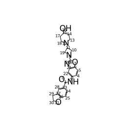 O=C(Nc1ccc2oc(N3CC(N4CCC(O)CC4)C3)nc2c1)c1ccc2c(c1)CCO2